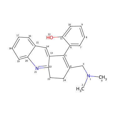 CN(C)CC1=C(c2ccccc2O)c2cc3ccccc3nc2CC1